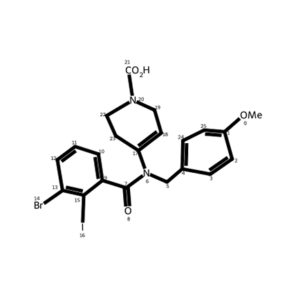 COc1ccc(CN(C(=O)c2cccc(Br)c2I)C2=CCN(C(=O)O)CC2)cc1